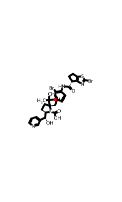 CC(C)(C)[C@@]1(Cc2ccc(NC(=O)[C@@H]3CCc4sc(Br)nc43)c(Br)c2)CC[C@H]([C@H](O)c2cccnc2)N1C(=O)O